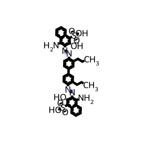 CCCc1cc(-c2ccc(/N=N/c3c(O)c(S(=O)(=O)O)c4ccccc4c3N)c(CCC)c2)ccc1/N=N/c1c(O)c(S(=O)(=O)O)c2ccccc2c1N